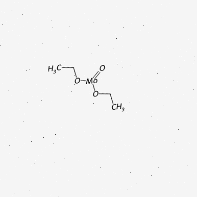 CC[O][Mo](=[O])[O]CC